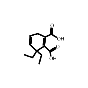 CCC1(CC)C=CCC(C(=O)O)=C1C(=O)O